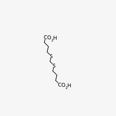 O=C(O)CCCSCSCCCC(=O)O